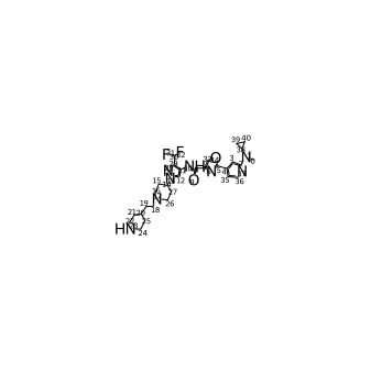 CN(c1cc(-c2nc(C(=O)Nc3cn(C4CCN(CCC5CCNCC5)CC4)nc3C(F)F)co2)ccn1)C1CC1